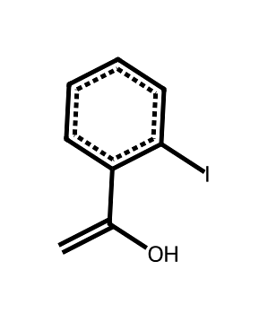 C=C(O)c1ccccc1I